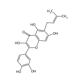 CC(C)=CCc1c(O)cc2oc(-c3ccc(O)c(O)c3)c(O)c(=O)c2c1O